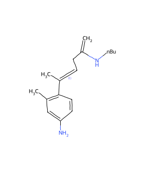 C=C(C/C=C(\C)c1ccc(N)cc1C)NCCCC